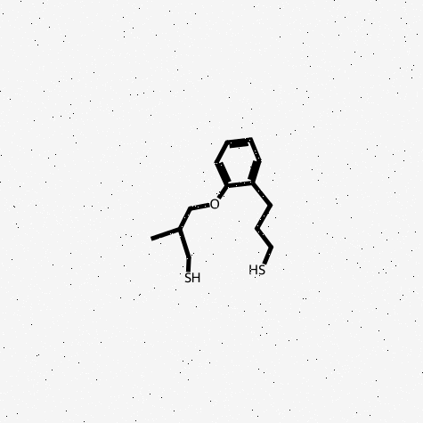 CC(CS)COc1ccccc1CCCS